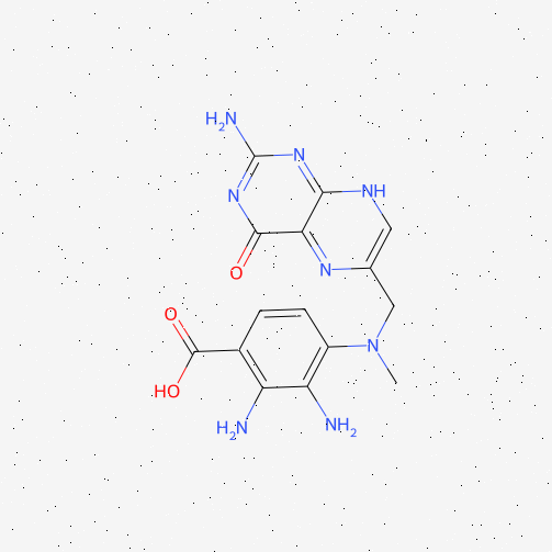 CN(Cc1c[nH]c2nc(N)nc(=O)c-2n1)c1ccc(C(=O)O)c(N)c1N